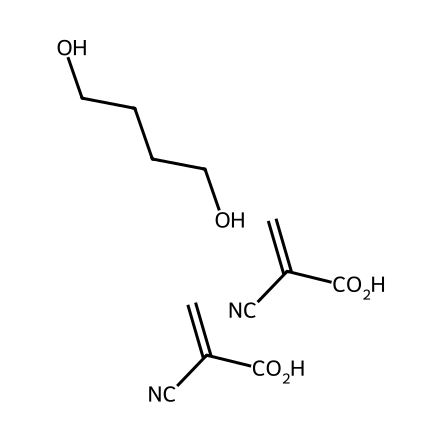 C=C(C#N)C(=O)O.C=C(C#N)C(=O)O.OCCCCO